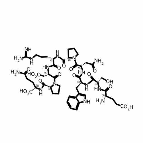 N=C(N)NCCC[C@H](NC(=O)[C@@H]1CCCN1C(=O)[C@H](CC(N)=O)NC(=O)[C@H](Cc1c[nH]c2ccccc12)NC(=O)[C@H](CO)NC(=O)[C@@H](N)CCC(=O)O)C(=O)N[C@@H](CC(=O)O)C(=O)N1CCC[C@H]1C(=O)N[C@@H](CCC(N)=O)C(=O)O